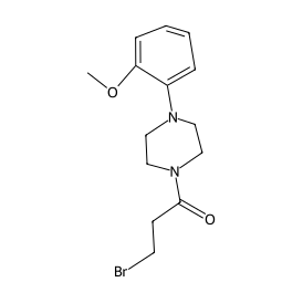 COc1ccccc1N1CCN(C(=O)CCBr)CC1